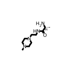 C[C@@H](N)C(=O)NCCN1CCN(C)CC1